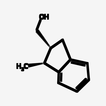 C[C@H]1c2ccccc2C[C@H]1CO